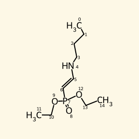 CCCCN/C=C/P(=O)(OCC)OCC